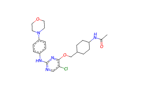 CC(=O)NC1CCC(COc2nc(Nc3ccc(N4CCOCC4)cc3)ncc2Cl)CC1